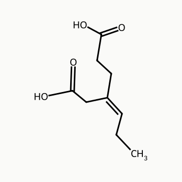 CCC=C(CCC(=O)O)CC(=O)O